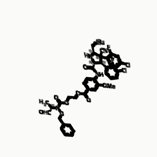 COc1cc(C(=O)OCCOC(=O)N(OCc2ccccc2)[C@@H](C)C=O)ccc1NC(=O)[C@@H]1N[C@@H](CC(C)(C)C)[C@](C#N)(c2ccc(Cl)cc2F)[C@H]1c1cccc(Cl)c1F